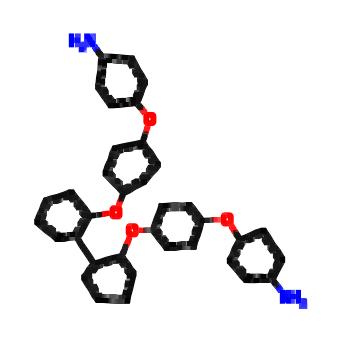 Nc1ccc(Oc2ccc(Oc3ccccc3-c3ccccc3Oc3ccc(Oc4ccc(N)cc4)cc3)cc2)cc1